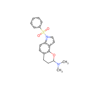 CN(C)C1CCc2ccc3c(ccn3S(=O)(=O)c3ccccc3)c2O1